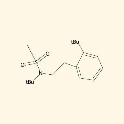 CC(C)(C)c1ccccc1CCN(C(C)(C)C)S(C)(=O)=O